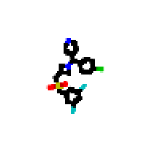 O=S(=O)(Cc1cc(F)cc(F)c1)CC1CN(C(c2ccncc2)c2ccc(Cl)cc2)C1